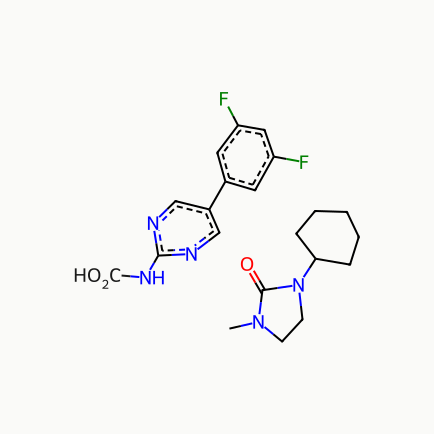 CN1CCN(C2CCCCC2)C1=O.O=C(O)Nc1ncc(-c2cc(F)cc(F)c2)cn1